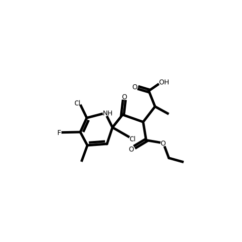 CCOC(=O)C(C(=O)C1(Cl)C=C(C)C(F)=C(Cl)N1)C(C)C(=O)O